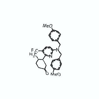 COc1ccc(CN(Cc2ccc(OC)cc2)c2ccc(C(F)(F)F)c(C3CC(=O)CCC3C)n2)cc1